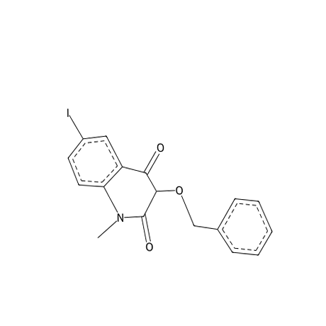 CN1C(=O)C(OCc2ccccc2)C(=O)c2cc(I)ccc21